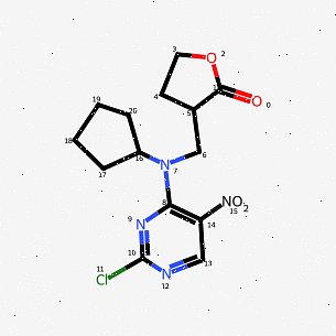 O=C1OCCC1CN(c1nc(Cl)ncc1[N+](=O)[O-])C1CCCC1